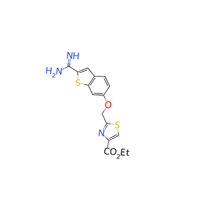 CCOC(=O)c1csc(COc2ccc3cc(C(=N)N)sc3c2)n1